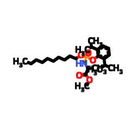 CCCCCCCCCCOP(=O)(N[C@@H](C)C(=O)OC)Oc1c(C(C)C)cccc1C(C)C